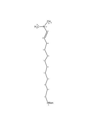 CCCCCCCCCCCCCCCCCCC/C=C/N(C)C